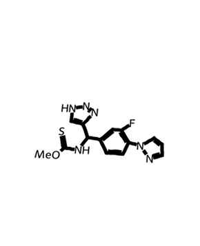 COC(=S)NC(c1ccc(-n2cccn2)c(F)c1)c1c[nH]nn1